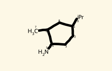 CC(C)C1CCC(N)C(C)C1